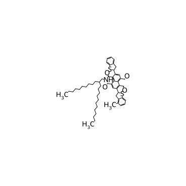 CCCCCCCCCCCCC(CCCCCCCCCC)CNC(=O)c1c(C2Cc3ccccc3S2)cc(C=O)c2c(C=O)c(C3Cc4c(C)cccc4S3)cc(C=O)c12